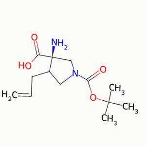 C=CCC1CN(C(=O)OC(C)(C)C)C[C@@]1(N)C(=O)O